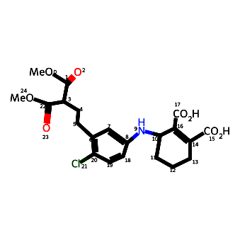 COC(=O)C(CCc1cc(NC2CCCC(C(=O)O)=C2C(=O)O)ccc1Cl)C(=O)OC